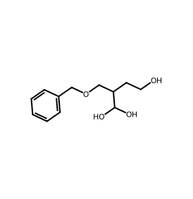 OCCC(COCc1ccccc1)C(O)O